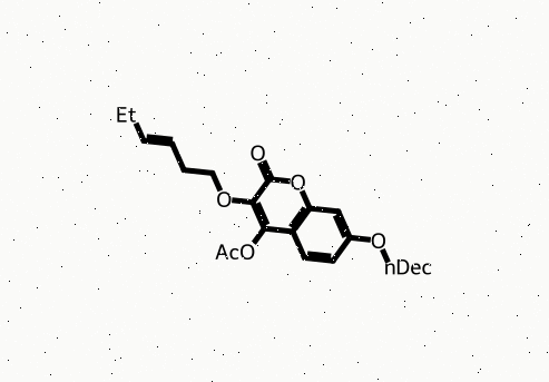 CCC=CCCOc1c(OC(C)=O)c2ccc(OCCCCCCCCCC)cc2oc1=O